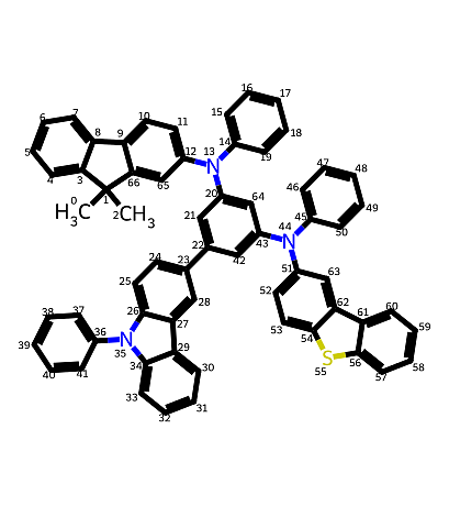 CC1(C)c2ccccc2-c2ccc(N(c3ccccc3)c3cc(-c4ccc5c(c4)c4ccccc4n5-c4ccccc4)cc(N(c4ccccc4)c4ccc5sc6ccccc6c5c4)c3)cc21